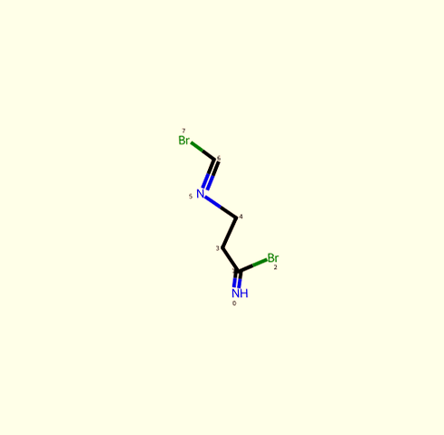 N=C(Br)CC/N=C/Br